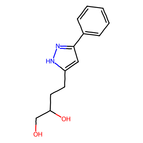 OCC(O)CCc1cc(-c2ccccc2)n[nH]1